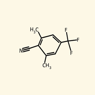 Cc1cc(C(F)(F)F)cc(C)c1C#N